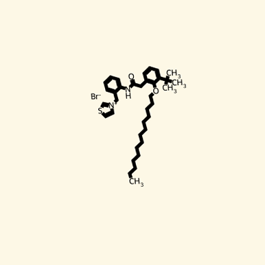 CCCCCCCCCCCCCCOc1c(CC(=O)Nc2ccccc2C[n+]2ccsc2)cccc1C(C)(C)C.[Br-]